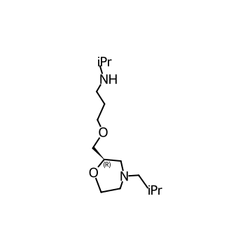 CC(C)CN1CCO[C@@H](COCCCNC(C)C)C1